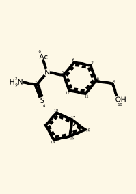 CC(=O)N(C(N)=S)c1ccc(CO)cc1.c1cc2cc-2c1